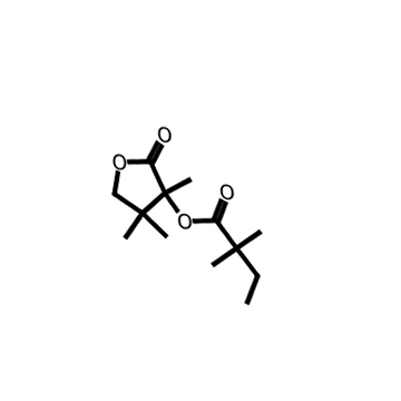 CCC(C)(C)C(=O)OC1(C)C(=O)OCC1(C)C